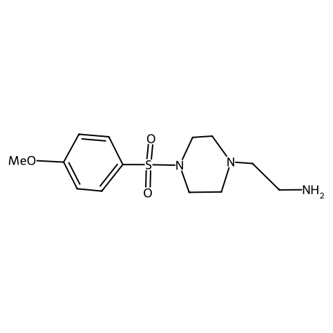 COc1ccc(S(=O)(=O)N2CCN(CCN)CC2)cc1